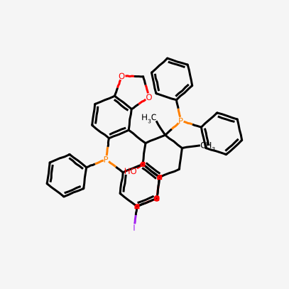 CC1CC(OCI)=C(O)C(c2c(P(c3ccccc3)c3ccccc3)ccc3c2OCO3)C1(C)P(c1ccccc1)c1ccccc1